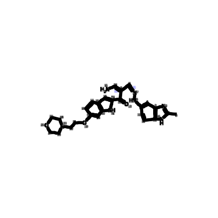 Cc1nc2cc(N/N=C\C(=C\N)C(=O)c3cc4ccc(OCCN5CCOCC5)cc4[nH]3)ccc2[nH]1